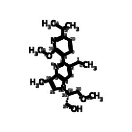 CCc1cc2c(nc1-c1ccc(C(C)C)nc1OC)c(C)cn2[C@@H](CO)COC